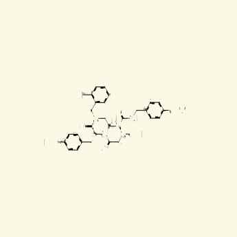 COc1ccc(CNC(=O)N2[C@H]3CN(Cc4ccccc4Cl)C(=O)[C@H](Cc4ccc(O)cc4)N3C(=O)CN2C)cc1